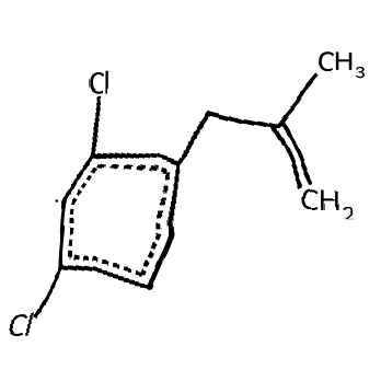 C=C(C)Cc1ccc(Cl)[c]c1Cl